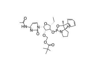 CC[C@H]1O[C@@H](n2ccc(NC(C)=O)nc2=O)[C@@H](OCOC(=O)C(C)(C)C)C1O[P@@]1O[C@](C)(c2ccccc2)[C@@H]2CCCN21